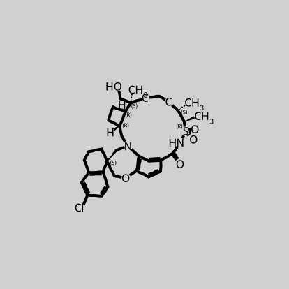 C[C@@H]1[C@@H](C)CCC[C@](C)(CO)[C@@H]2CC[C@H]2CN2C[C@@]3(CCCc4cc(Cl)ccc43)COc3ccc(cc32)C(=O)NS1(=O)=O